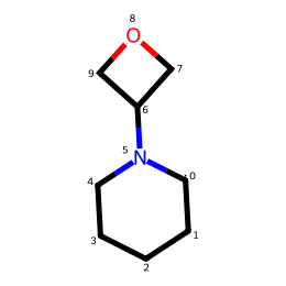 [CH]1CCCCN1C1COC1